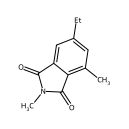 CCc1cc(C)c2c(c1)C(=O)N(C)C2=O